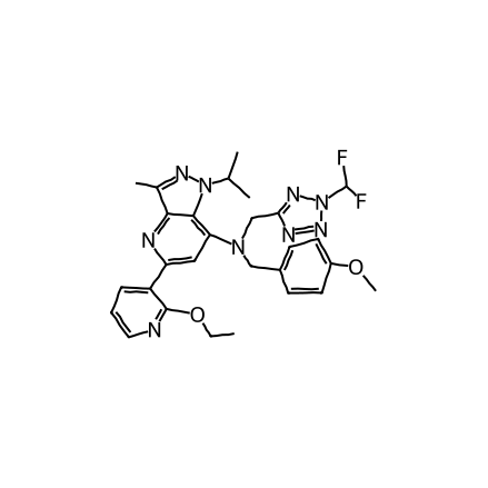 CCOc1ncccc1-c1cc(N(Cc2ccc(OC)cc2)Cc2nnn(C(F)F)n2)c2c(n1)c(C)nn2C(C)C